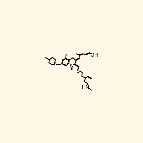 C=CC(CCNC)CCS/C=C(N=C)/C(=C/C(C)=C\C=C\O)Cc1ccc(CN2CCC(C)CC2)cc1C